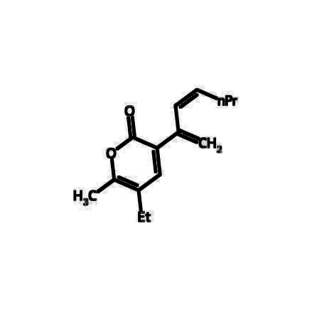 C=C(/C=C\CCC)c1cc(CC)c(C)oc1=O